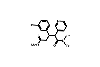 COC(=O)CC(c1cccc(Br)c1)C(C(=O)N(C(C)C)C(C)C)c1cccnc1